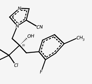 Cc1ccc(C[C@](O)(Cn2cncc2C#N)C2(Cl)CC2)c(F)c1